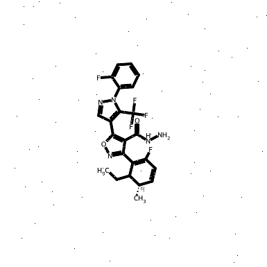 CCC1C(c2noc(-c3cnn(-c4ccccc4F)c3C(F)(F)F)c2C(=O)NN)=C(F)C=C[C@@H]1C